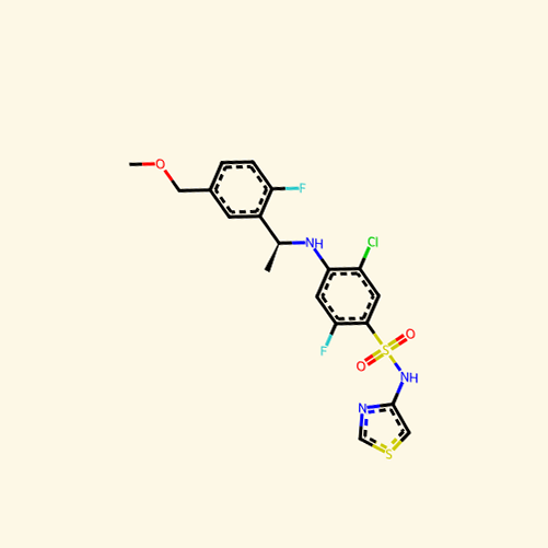 COCc1ccc(F)c([C@H](C)Nc2cc(F)c(S(=O)(=O)Nc3cscn3)cc2Cl)c1